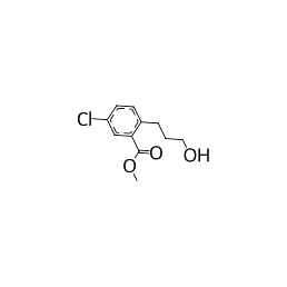 COC(=O)c1cc(Cl)ccc1CCCO